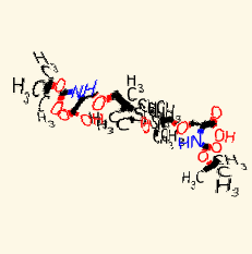 CC(C)(C)OC(=O)N[C@@H](COCC(C)(C)[Si](C)(C)O[Si](C)(C)C(C)(C)COC[C@H](NC(=O)OC(C)(C)C)C(=O)O)C(=O)O